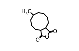 CC1CCCCC2C(=O)OC(=O)C2CCC1